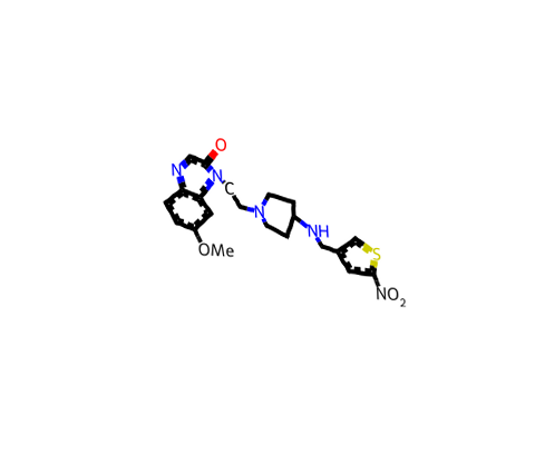 COc1ccc2ncc(=O)n(CCN3CCC(NCc4csc([N+](=O)[O-])c4)CC3)c2c1